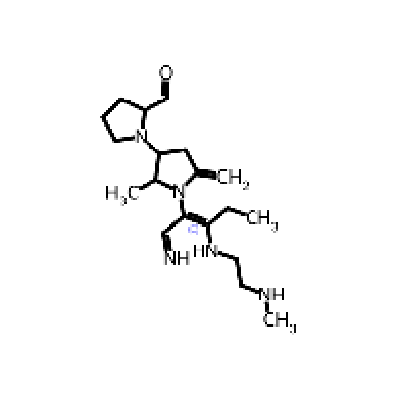 C=C1CC(N2CCCC2C=O)C(C)N1/C(C=N)=C(\CC)NCCNC